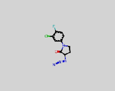 [N-]=[N+]=NC1CCN(c2ccc(F)c(Cl)c2)C1=O